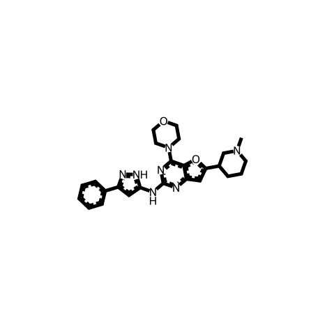 CN1CCCC(c2cc3nc(Nc4cc(-c5ccccc5)n[nH]4)nc(N4CCOCC4)c3o2)C1